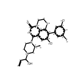 C=CC(O)N1CCN(c2nc(=O)n3c4c(c(-c5cc(F)cc(Cl)c5)c(Cl)cc24)SCC3)[C@@H](C)C1